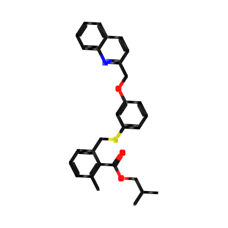 Cc1cccc(CSc2cccc(OCc3ccc4ccccc4n3)c2)c1C(=O)OCC(C)C